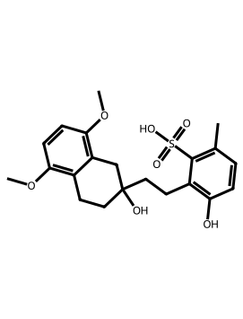 COc1ccc(OC)c2c1CCC(O)(CCc1c(O)ccc(C)c1S(=O)(=O)O)C2